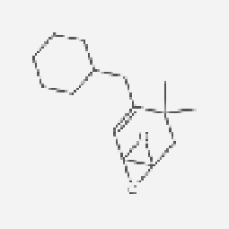 CC1(C)CC23OC2(C=C1CC1CCCCC1)O3